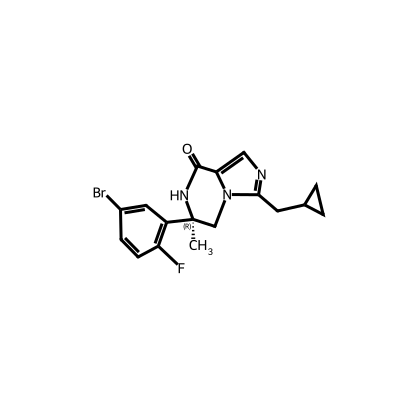 C[C@@]1(c2cc(Br)ccc2F)Cn2c(cnc2CC2CC2)C(=O)N1